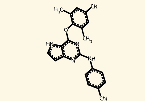 Cc1cc(C#N)cc(C)c1Oc1nc(Nc2ccc(C#N)cc2)nc2cc[nH]c12